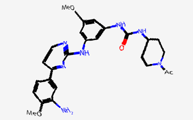 COc1cc(NC(=O)NC2CCN(C(C)=O)CC2)cc(Nc2nccc(-c3ccc(OC)c(N)c3)n2)c1